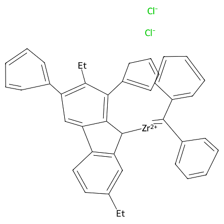 CCc1ccc2c(c1)[CH]([Zr+2]=[C](c1ccccc1)c1ccccc1)c1c-2cc(-c2ccccc2)c(CC)c1C1=CC=CC1.[Cl-].[Cl-]